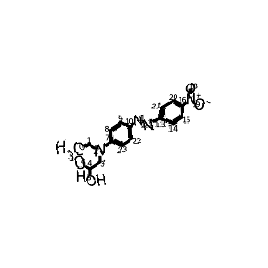 CCN(CC(O)O)c1ccc(N=Nc2ccc([N+](=O)[O-])cc2)cc1